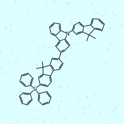 CC1(C)c2ccccc2-c2ccc(-n3c4ccccc4c4cc(-c5ccc6c(c5)C(C)(C)c5cc([Si](c7ccccc7)(c7ccccc7)c7ccccc7)ccc5-6)ccc43)cc21